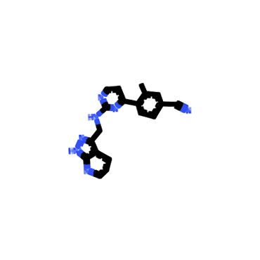 Cc1cc(C#N)ccc1-c1ccnc(NCc2n[nH]c3ncccc23)n1